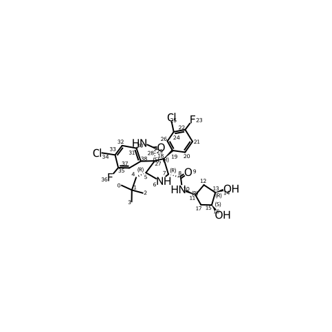 CC(C)(C)C[C@H]1N[C@@H](C(=O)N[C@H]2C[C@@H](O)[C@@H](O)C2)[C@H](c2ccc(F)c(Cl)c2)[C@@]12C(=O)Nc1cc(Cl)c(F)cc12